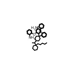 CCCCCC1(C(C)C2CCC(c3ccccc3Oc3ccccc3N)(c3ccccc3Oc3ccccc3N)CC2)CCCCC1